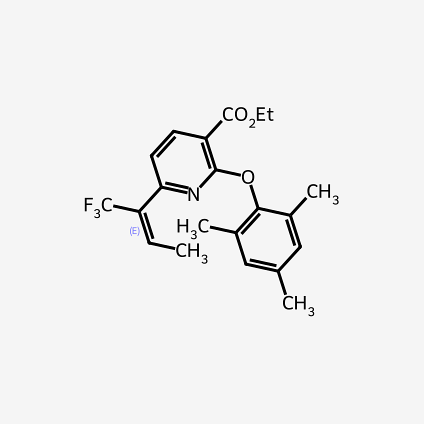 C/C=C(\c1ccc(C(=O)OCC)c(Oc2c(C)cc(C)cc2C)n1)C(F)(F)F